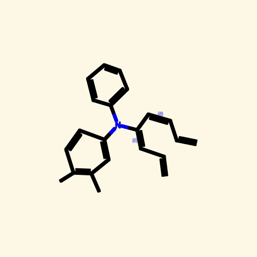 C=C/C=C\C(=C/C=C)N(c1ccccc1)c1ccc(C)c(C)c1